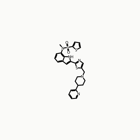 CN(c1cccc2cc(-c3ncc(CN4CCC(c5ccccn5)CC4)s3)[nH]c12)S(=O)(=O)c1cccs1